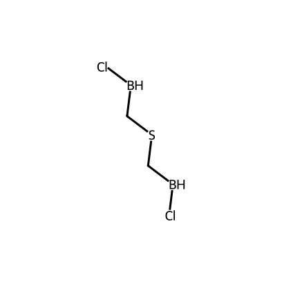 ClBCSCBCl